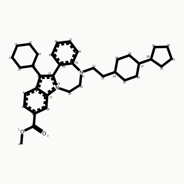 COC(=O)c1ccc2c(C3CCCCC3)c3n(c2c1)CCN(CCC1CCC(C2CCCC2)CC1)c1ccccc1-3